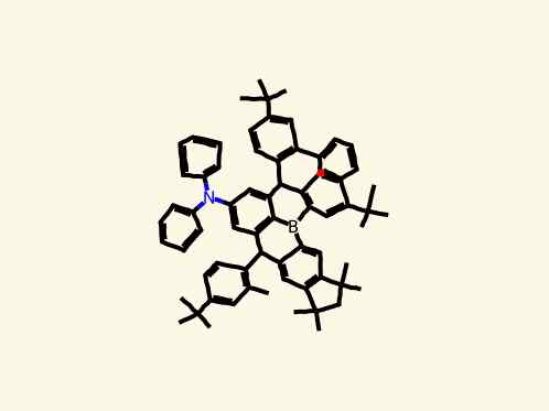 Cc1cc(C(C)(C)C)ccc1C1c2cc3c(cc2B2c4cc(C(C)(C)C)ccc4C(c4ccc(C(C)(C)C)cc4-c4ccccc4)c4cc(N(c5ccccc5)c5ccccc5)cc1c42)C(C)(C)CC3(C)C